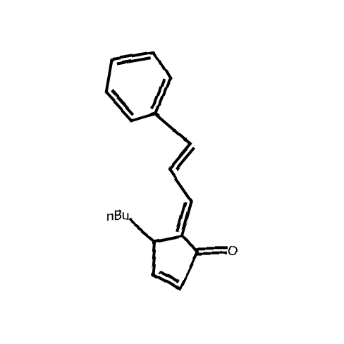 CCCCC1C=CC(=O)C1=CC=Cc1ccccc1